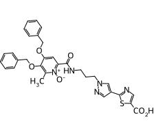 Cc1c(OCc2ccccc2)c(OCc2ccccc2)cc(C(=O)NCCCn2cc(-c3ncc(C(=O)O)s3)cn2)[n+]1[O-]